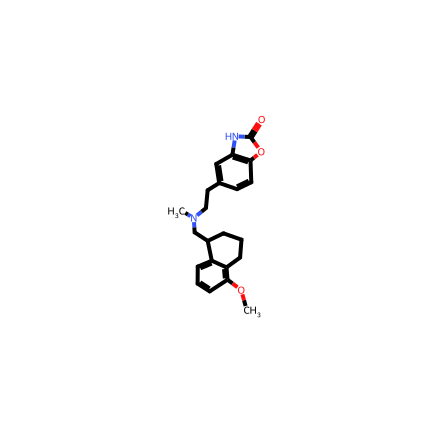 COc1cccc2c1CCCC2CN(C)CCc1ccc2oc(=O)[nH]c2c1